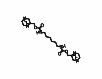 O=C(NCCCCCCNC(=O)OCC1CN2CCN1CC2)OCC1CN2CCN1CC2